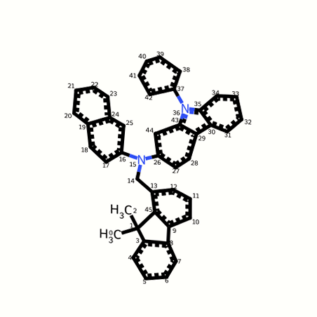 CC1(C)c2ccccc2-c2cccc(CN(c3ccc4ccccc4c3)c3ccc4c5ccccc5n(-c5ccccc5)c4c3)c21